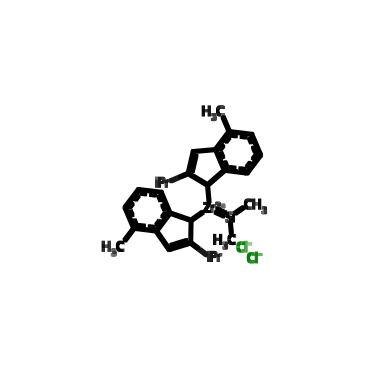 Cc1cccc2c1C=C(C(C)C)[CH]2[Zr+2]([CH]1C(C(C)C)=Cc2c(C)cccc21)=[Si](C)C.[Cl-].[Cl-]